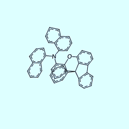 c1ccc(C23c4ccccc4-c4cccc(c42)Oc2c(N(c4cccc5ccccc45)c4cccc5ccccc45)cccc23)cc1